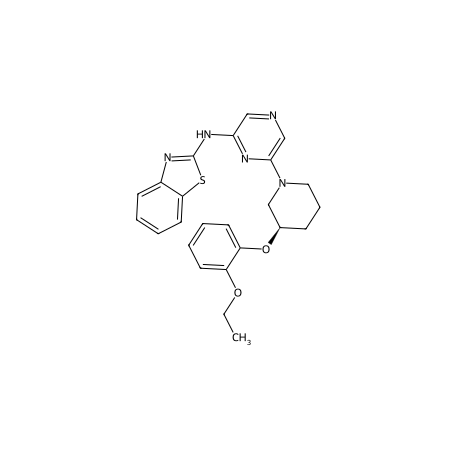 CCOc1ccccc1O[C@@H]1CCCN(c2cncc(Nc3nc4ccccc4s3)n2)C1